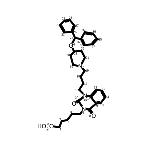 O=C(O)CCCCCn1c(=O)c2ccccc2n(CCCCN2CCC(OC(c3ccccc3)c3ccccc3)CC2)c1=O